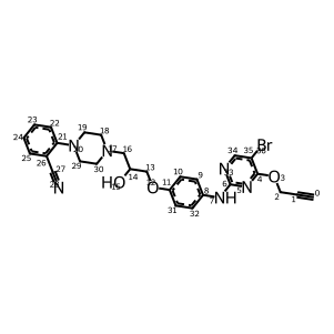 C#CCOc1nc(Nc2ccc(OCC(O)CN3CCN(c4ccccc4C#N)CC3)cc2)ncc1Br